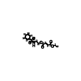 CCOC(=O)/C=C/C(=O)OCCNS(=O)(=O)c1ccccc1